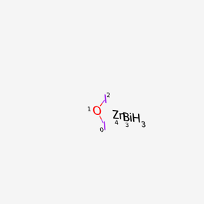 IOI.[BiH3].[Zn]